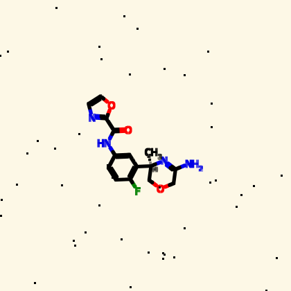 C[C@@]1(c2cc(NC(=O)c3ncco3)ccc2F)COCC(N)=N1